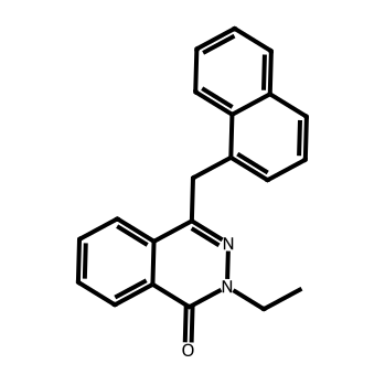 CCn1nc(Cc2cccc3ccccc23)c2ccccc2c1=O